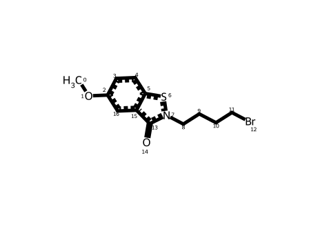 COc1ccc2sn(CCCCBr)c(=O)c2c1